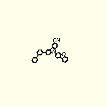 N#Cc1ccc2c(c1)c1cc(-c3cccc(-c4ccccc4)c3)ccc1n2-c1ccc2c(c1)oc1ccccc12